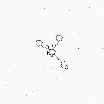 C(#Cc1cc(OCc2ccccc2)c(OCc2ccccc2)nn1)C1=CCOCC1